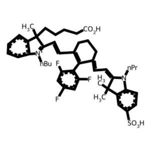 CCCC[N+]1=C(/C=C/C2=C(c3c(F)cc(F)cc3F)C(=C/C=C3/N(CCC)c4ccc(S(=O)(=O)O)cc4C3(C)C)/CCC2)C(C)(CCCCC(=O)O)c2ccccc21